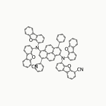 N#Cc1cccc2c1oc1c(N(c3cc(-c4ccccc4)c4ccc5c(N(c6cccc7c6oc6ccccc67)c6cccc7c6oc6c(C#N)cccc67)cc(-c6ccccc6)c6ccc3c4c65)c3cccc4c3oc3ccccc34)cccc12